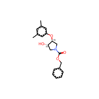 Cc1cc(C)cc(O[C@H]2CN(C(=O)OCc3ccccc3)C[C@@H]2O)c1